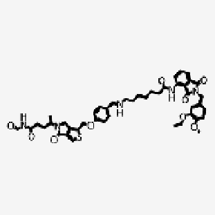 CCOc1cc(CN2C(=O)c3cccc(NC(=O)CCCCCCNCc4ccc(OCc5scc6c5CN(C(C)CCC(=O)NC=O)C6=O)cc4)c3C2=O)ccc1OC